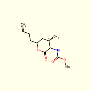 C=CCCC1C[C@@H](C)C(NC(=O)OC(C)(C)C)C(=O)O1